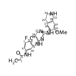 C=CC(=O)Nc1cccc(Nc2nc(Nc3cc4c(cc3OC)CNCC4)ncc2C(F)(F)F)c1